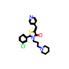 O=C1C(=Cc2ccncc2)SC(c2cccc(Cl)c2)N1CCCN1CCCCC1